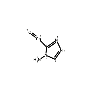 Nn1cnn[c]1[Co]=[O]